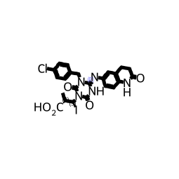 C[C@@H](C(=O)O)[C@H](I)n1c(=O)[nH]/c(=N\c2ccc3c(c2)CCC(=O)N3)n(Cc2ccc(Cl)cc2)c1=O